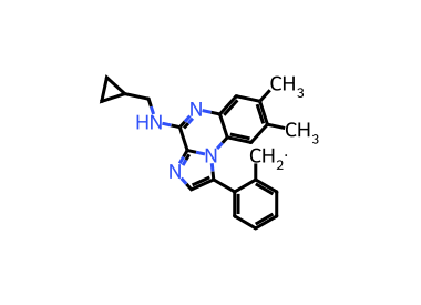 [CH2]c1ccccc1-c1cnc2c(NCC3CC3)nc3cc(C)c(C)cc3n12